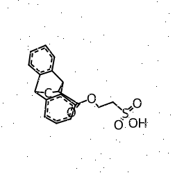 O=C(OCCS(=O)(=O)O)C1CC2c3ccccc3C1c1ccccc12